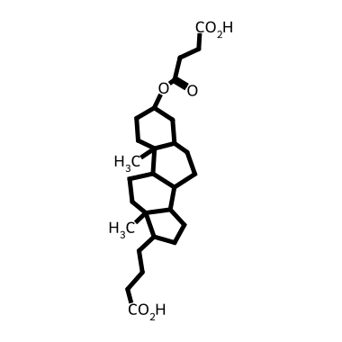 CC12CCC3C(CCC4CC(OC(=O)CCC(=O)O)CCC43C)C1CCC2CCCC(=O)O